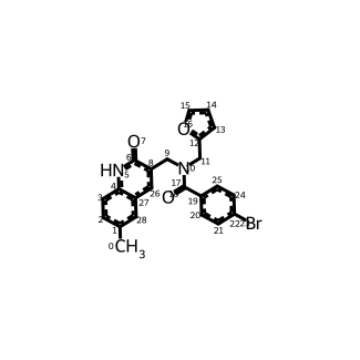 Cc1ccc2[nH]c(=O)c(CN(Cc3ccco3)C(=O)c3ccc(Br)cc3)cc2c1